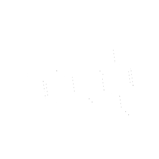 Cc1ccc(C#N)c(Nc2ccc(Cl)cc2)n1